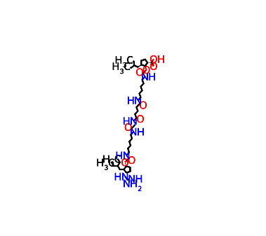 CCC(CC)CC1C(NC(=N)N)CC[C@H]1OC(=O)NCCCCCCNC(=O)CNC(=O)CCCC(=O)NCCCCCCNC(=O)O[C@H]1[C@@H](CC(CC)CC)CC[C@@H]1C(=O)O